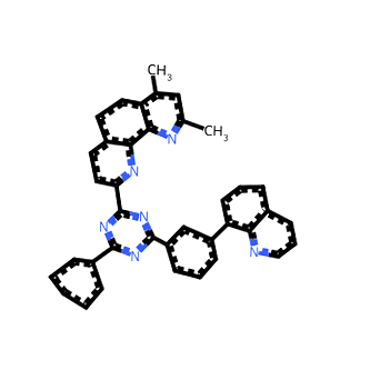 Cc1cc(C)c2ccc3ccc(-c4nc(-c5ccccc5)nc(-c5cccc(-c6cccc7cccnc67)c5)n4)nc3c2n1